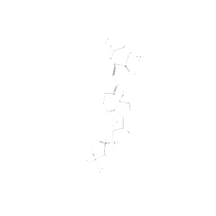 C=C1/C(=C\C=C2/CCC[C@]3(C)[C@@H]([C@@H](C)CNC(=O)C[C@](C)(O)C(F)(F)F)CC[C@@H]23)C[C@@H](O)C[C@@H]1O